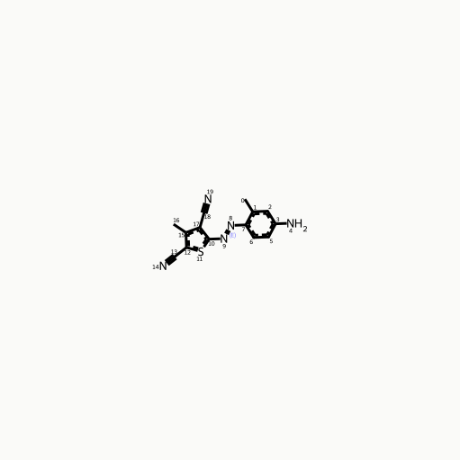 Cc1cc(N)ccc1/N=N/c1sc(C#N)c(C)c1C#N